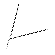 [CH2]CCCCCC(CCCCCCCCCCCCCCCCC)CCCCCCCCCCCCCCCCCCC